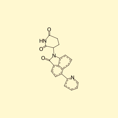 O=C1CCC(N2C(=O)c3ccc(-c4ccccn4)c4cccc2c34)C(=O)N1